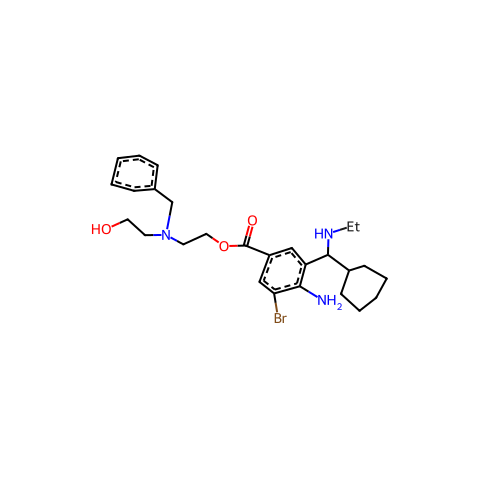 CCNC(c1cc(C(=O)OCCN(CCO)Cc2ccccc2)cc(Br)c1N)C1CCCCC1